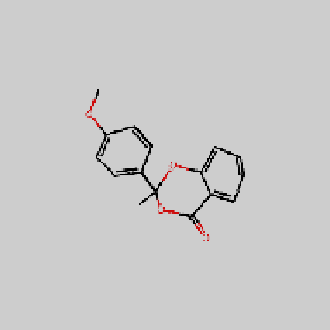 COc1ccc(C2(C)OC(=O)c3ccccc3O2)cc1